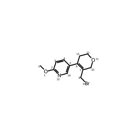 COc1ccc(C2=C(CBr)COCC2)cn1